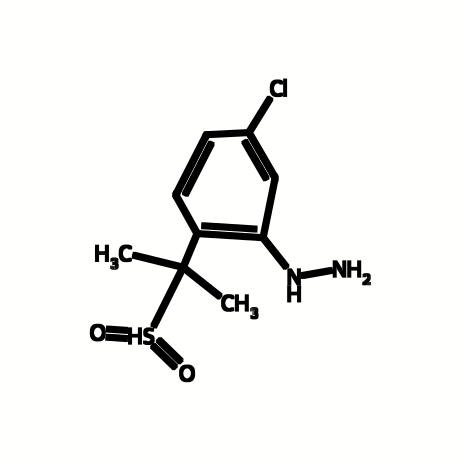 CC(C)(c1ccc(Cl)cc1NN)[SH](=O)=O